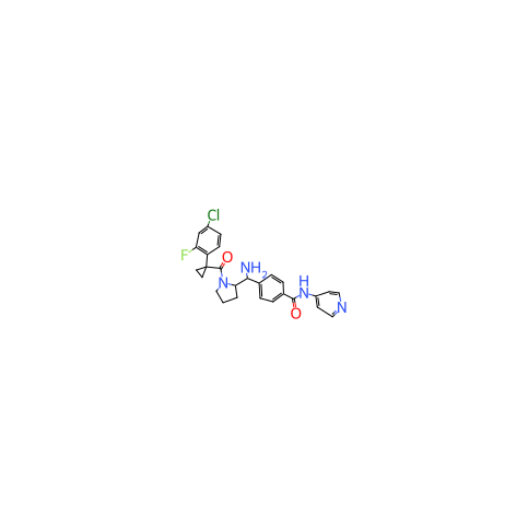 NC(c1ccc(C(=O)Nc2ccncc2)cc1)C1CCCN1C(=O)C1(c2ccc(Cl)cc2F)CC1